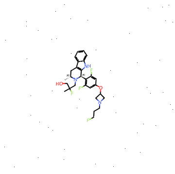 C[C@@H]1Cc2c([nH]c3ccccc23)[C@@H](c2c(F)cc(OC3CN(CCCF)C3)cc2F)N1CC(C)(F)CO